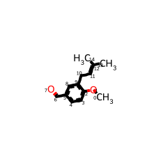 COc1ccc(C=O)cc1CC=C(C)C